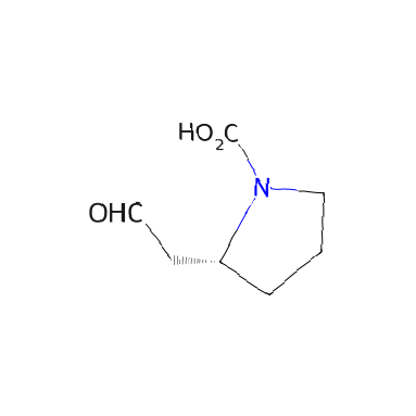 O=CC[C@H]1CCCN1C(=O)O